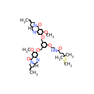 C/C=C1\C[C@H]2C=Nc3cc(OCc4cc(COc5cc6c(cc5OC)C(=O)N5C/C(=C/C)C[C@H]5C=N6)cc(OCCNC(=O)CCC(C)(C)SSC)c4)c(OC)cc3C(=O)N2C1